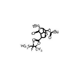 CC(OC(=O)C1C2SC3C1C(=O)N(C(C)(C)C)C3C2OC(=O)C(C)(C)C)C(F)(F)S(=O)(=O)O